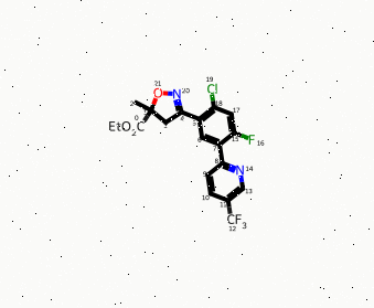 CCOC(=O)C1(C)CC(c2cc(-c3ccc(C(F)(F)F)cn3)c(F)cc2Cl)=NO1